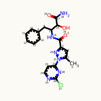 Cc1cc(C(=O)NC(Cc2ccccc2)C(O)C(N)=O)nn1-c1ccnc(Cl)n1